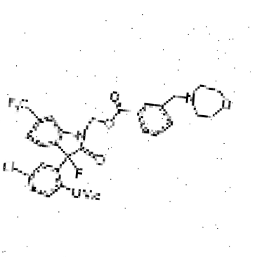 COc1ccc(Cl)cc1C1(F)C(=O)N(COC(=O)c2cccc(CN3CCOCC3)c2)c2cc(C(F)(F)F)ccc21